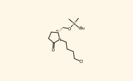 CC(C)(C)[Si](C)(C)OC[C@H]1CCC(=O)N1CCCCCl